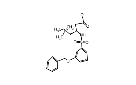 C[N+](C)(C)C[C@@H](CC(=O)[O-])NS(=O)(=O)c1cccc(OCc2ccccc2)c1